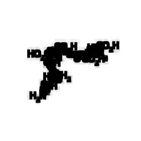 CC(CCNC(=O)C(=O)O)CC(C)CC(=O)NC(CCC(=O)NCCOCCOCC(=O)NC(CCC(=O)NC(CCC(=O)NOCCOCC(=O)NC(CCCCNC(=O)c1ccc(N)cc1)C(N)=O)C(=O)O)C(=O)O)C(=O)O